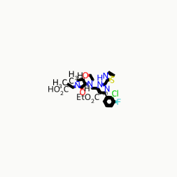 CCOC(=O)C1=C(CN2CCO[C@H]3CN(CC(C)(C)C(=O)O)C(=O)[C@H]32)NC(c2nccs2)=N[C@H]1c1cccc(F)c1Cl